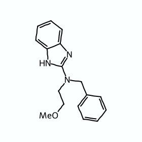 COCCN(Cc1ccccc1)c1nc2ccccc2[nH]1